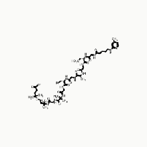 Cc1ccnc(NCCCCC(=O)NCC(=O)N[C@@H](CC(=O)O)C(=O)NCC(=O)N[C@@H](C)C(=O)NCC(=O)N[C@@H](CC(C)C)C(=O)NCC(=O)NC(C)(C)C(=O)NCC(=O)NC(C)(C)CCOC(C)(C)CCC(=O)C(C)C)c1